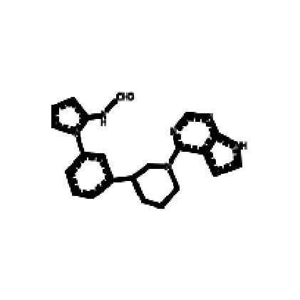 O=CNc1cccn1-c1cccc(C2CCCN(c3ncnc4[nH]ccc34)C2)c1